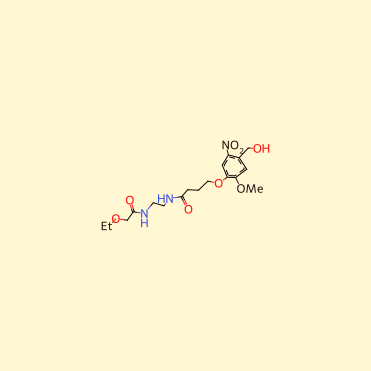 CCOCC(=O)NCCNC(=O)CCCOc1cc([N+](=O)[O-])c(CO)cc1OC